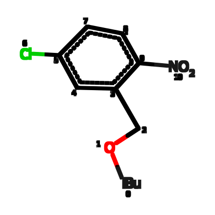 CCC(C)OCc1cc(Cl)c[c]c1[N+](=O)[O-]